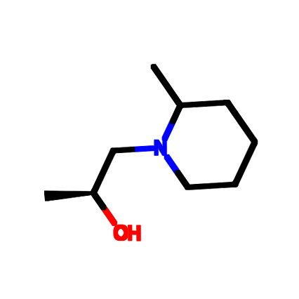 CC1CCCCN1C[C@H](C)O